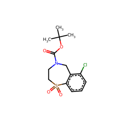 CC(C)(C)OC(=O)N1CCS(=O)(=O)c2cccc(Cl)c2C1